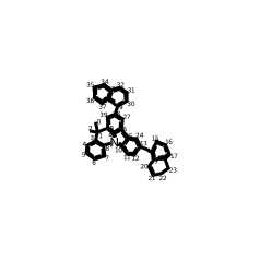 CC1(C)c2ccccc2-n2c3ccc(-c4cccc5c4C=CCC5)cc3c3cc(-c4cccc5ccccc45)cc1c32